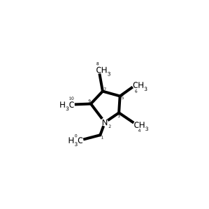 CCN1C(C)C(C)C(C)C1C